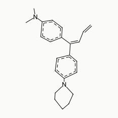 C=C/C=C(\c1ccc(N(C)C)cc1)c1ccc(N2CCCCC2)cc1